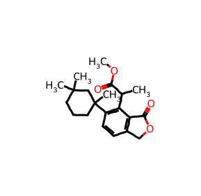 COC(=O)C(C)c1c(C2(C)CCCC(C)(C)C2)ccc2c1C(=O)OC2